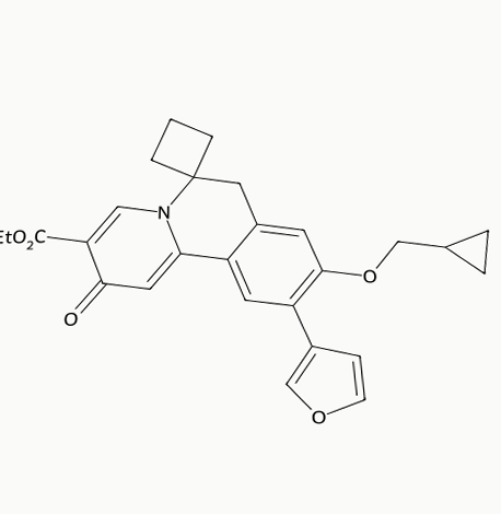 CCOC(=O)c1cn2c(cc1=O)-c1cc(-c3ccoc3)c(OCC3CC3)cc1CC21CCC1